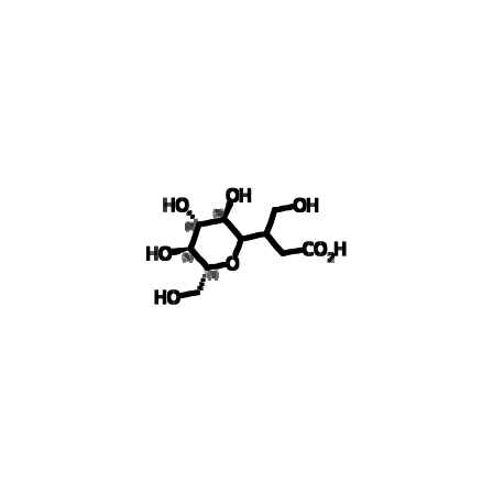 O=C(O)CC(CO)C1O[C@H](CO)[C@@H](O)[C@H](O)[C@H]1O